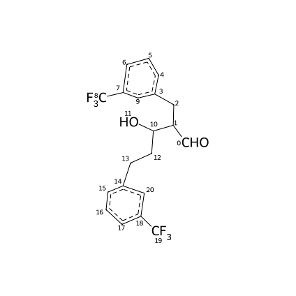 O=CC(Cc1cccc(C(F)(F)F)c1)C(O)CCc1cccc(C(F)(F)F)c1